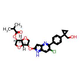 CC(C)C(=O)O[C@@H]1CO[C@@H]2[C@@H]1OC[C@H]2Oc1cc2nc(-c3ccc(C4(CO)CC4)cc3)c(Cl)cc2[nH]1